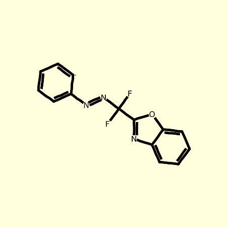 FC(F)(N=Nc1[c]cccc1)c1nc2ccccc2o1